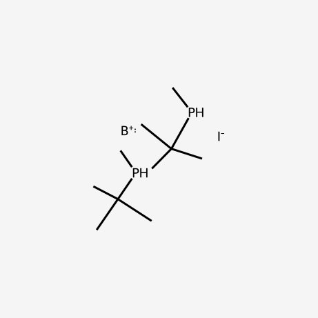 CPC(C)(C)C.CPC(C)(C)C.[B+].[I-]